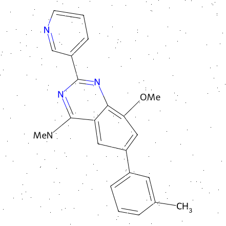 CNc1nc(-c2cccnc2)nc2c(OC)cc(-c3cccc(C)c3)cc12